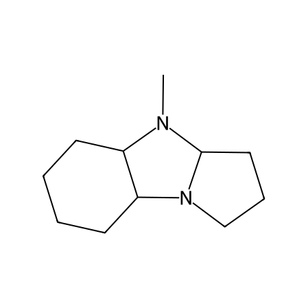 CN1C2CCCCC2N2CCCC12